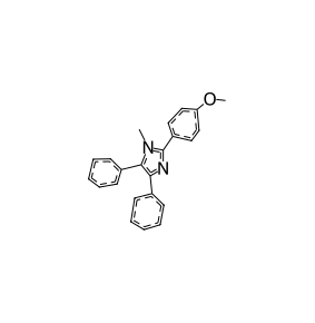 COc1ccc(-c2nc(-c3ccccc3)c(-c3ccccc3)n2C)cc1